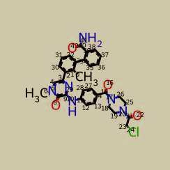 Cc1c(-c2cn(C)c(=O)c(Nc3ccc(C(=O)N4CCN(C(=O)CCl)CC4)cc3)n2)cccc1-c1ccccc1C(N)=O